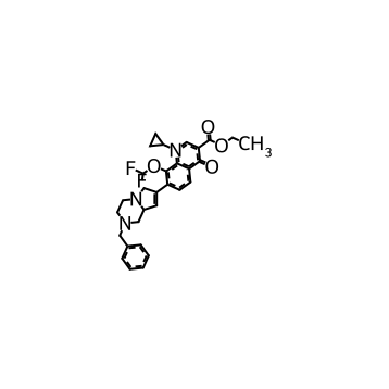 CCOC(=O)c1cn(C2CC2)c2c(OC(F)F)c(C3=CC4CN(Cc5ccccc5)CCN4C3)ccc2c1=O